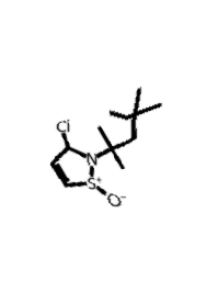 CC(C)(C)CC(C)(C)N1C(Cl)C=C[S+]1[O-]